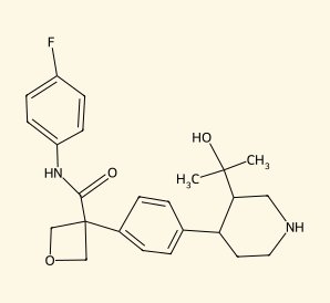 CC(C)(O)C1CNCCC1c1ccc(C2(C(=O)Nc3ccc(F)cc3)COC2)cc1